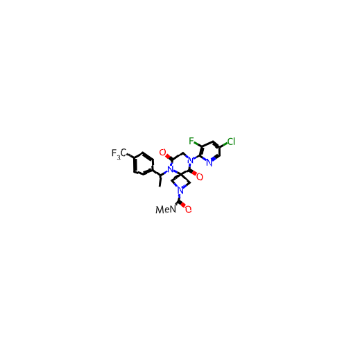 CNC(=O)N1CC2(C1)C(=O)N(c1ncc(Cl)cc1F)CC(=O)N2C(C)c1ccc(C(F)(F)F)cc1